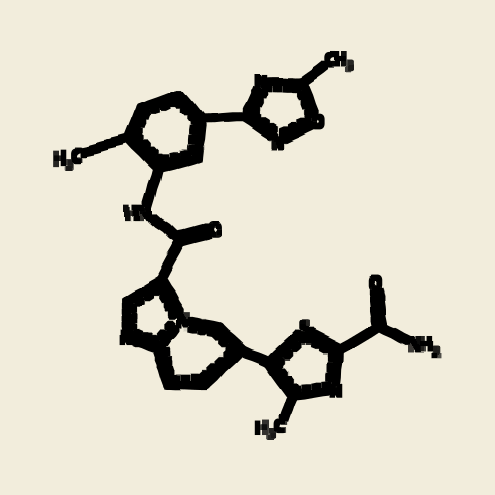 Cc1nc(-c2ccc(C)c(NC(=O)c3cnc4ccc(-c5sc(C(N)=O)nc5C)cn34)c2)no1